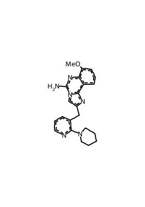 COc1cccc2c1nc(N)n1cc(Cc3cccnc3N3CCCCC3)nc21